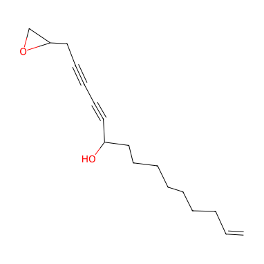 C=CCCCCCCCC(O)C#CC#CCC1CO1